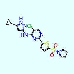 O=S(=O)(c1ccc(-c2ncc(Cl)c(Nc3cc(C4CC4)[nH]n3)n2)s1)n1cccc1